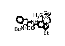 CCc1cn2c3c(cc(C(=O)N[C@@H](Cc4ccccc4)[C@H](O)CN[C@@H](C)CC)cc13)N(C)S(=O)(=O)CC2